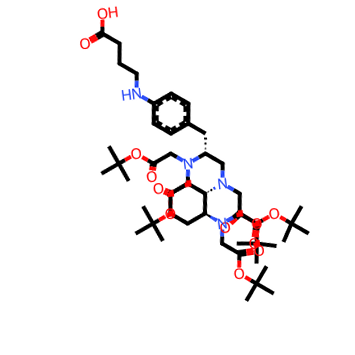 CC(C)(C)OC(=O)CN(CC(=O)OC(C)(C)C)[C@H](Cc1ccc(NCCCC(=O)O)cc1)CN(CC(=O)OC(C)(C)C)[C@H]1CCCC[C@@H]1N(CC(=O)OC(C)(C)C)CC(=O)OC(C)(C)C